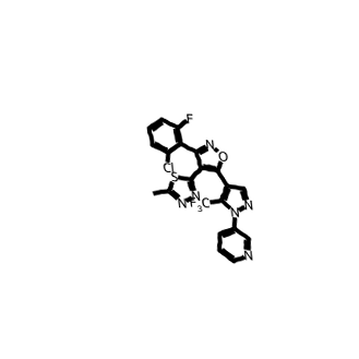 Cc1nnc(-c2c(-c3c(F)cccc3Cl)noc2-c2cnn(-c3cccnc3)c2C(F)(F)F)s1